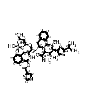 CCCC(O[C@@H](C[C@H](Cc1ccccc1)N(C(=O)N(C)Cc1csc(C(C)C)n1)[C@H](C(N)=O)C(C)C)[C@H](Cc1ccccc1)NC(=O)OCc1cncs1)OP(=O)(O)O